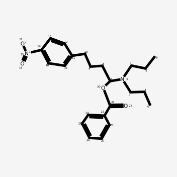 CCCN(CCC)C(CCCc1ccc([N+](=O)[O-])cc1)OC(=O)c1ccccc1